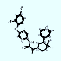 CC(C(=O)Nc1cnc(Oc2ccc(F)cc2F)cn1)N1CCC(F)(F)C(c2ccncc2)C1